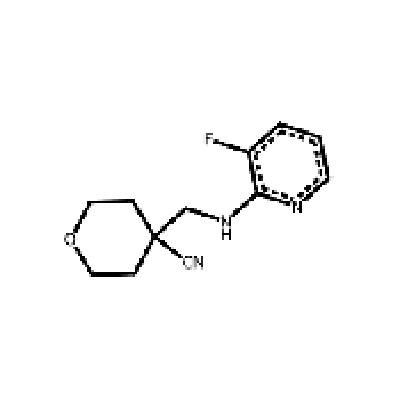 N#CC1(CNc2n[c]ccc2F)CCOCC1